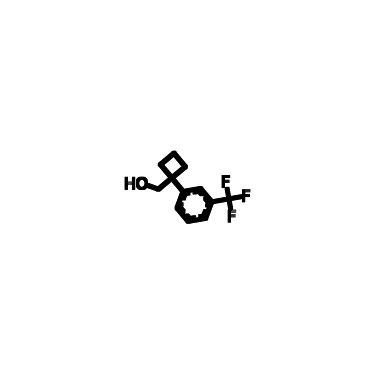 OCC1(c2cccc(C(F)(F)F)c2)CCC1